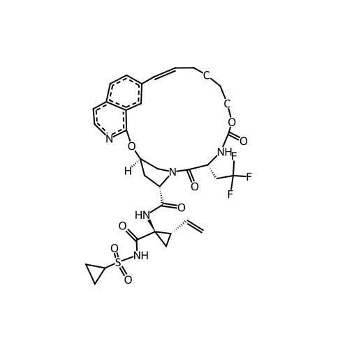 C=C[C@@H]1C[C@]1(NC(=O)[C@@H]1C[C@@H]2CN1C(=O)[C@@H](CC(F)(F)F)NC(=O)OCCCC/C=C/c1ccc3ccnc(c3c1)O2)C(=O)NS(=O)(=O)C1CC1